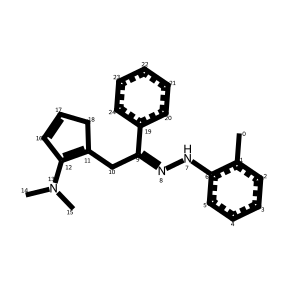 Cc1ccccc1NN=C(CC1=C(N(C)C)C=CC1)c1ccccc1